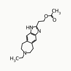 CCN1CCc2cc3nc(CCOC(C)=O)[nH]c3cc2CC1